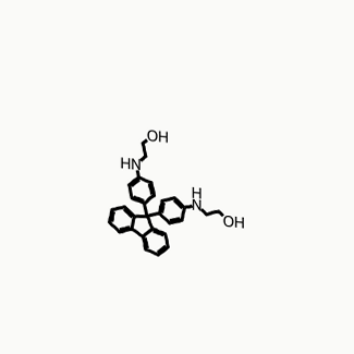 OCCNc1ccc(C2(c3ccc(NCCO)cc3)c3ccccc3-c3ccccc32)cc1